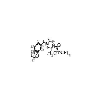 CC(C)C(=O)N1CCN(Cc2ccc3c(c2)OCO3)CC1